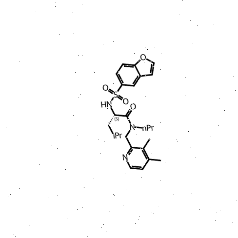 CCCN(Cc1nccc(C)c1C)C(=O)[C@H](CC(C)C)NS(=O)(=O)c1ccc2occc2c1